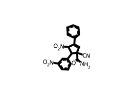 N#CC1(C(N)=O)C=C(c2ccccc2)C([N+](=O)[O-])C1c1cccc([N+](=O)[O-])c1